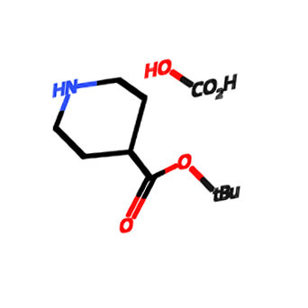 CC(C)(C)OC(=O)C1CCNCC1.O=C(O)O